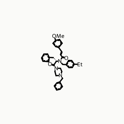 CCc1ccc(CN(C(=O)/C=C/c2ccc(OC)cc2)[C@@H](Cc2ccccc2)C(=O)N2CCN(Cc3ccccc3)CC2)cc1